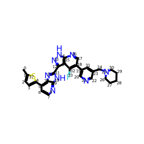 Cc1ccc(-c2ccnc3[nH]c(-c4n[nH]c5ncc(-c6cncc(CN7CCCCC7)c6)c(F)c45)nc23)s1